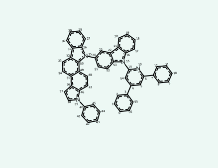 c1ccc(-c2cc(-c3ccccc3)nc(-n3c4ccccc4c4cc(-n5c6ccccc6c6ccc7c8ccn(-c9ccccc9)c8ccc7c65)ccc43)c2)cc1